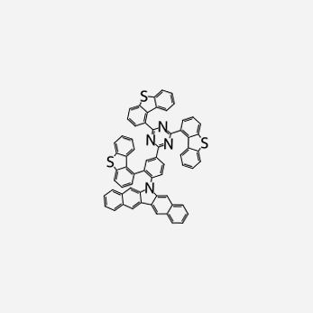 c1ccc2cc3c(cc2c1)c1cc2ccccc2cc1n3-c1ccc(-c2nc(-c3cccc4sc5ccccc5c34)nc(-c3cccc4sc5ccccc5c34)n2)cc1-c1cccc2sc3ccccc3c12